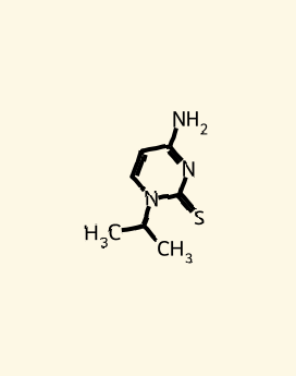 CC(C)n1ccc(N)nc1=S